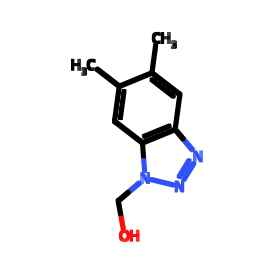 Cc1cc2nnn(CO)c2cc1C